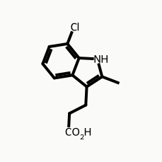 Cc1[nH]c2c(Cl)cccc2c1CCC(=O)O